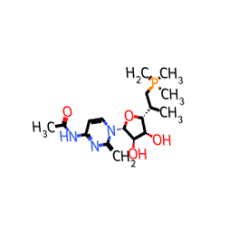 C=C1N=C(NC(C)=O)C=CN1[C@@H]1O[C@H](C(C)CP(=C)(C)C)[C@@H](O)[C@H]1O